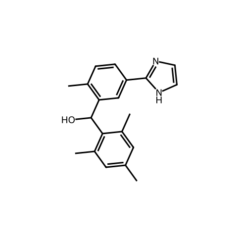 Cc1cc(C)c(C(O)c2cc(-c3ncc[nH]3)ccc2C)c(C)c1